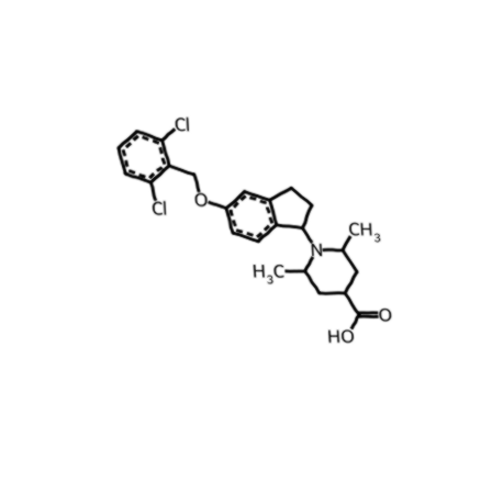 CC1CC(C(=O)O)CC(C)N1C1CCc2cc(OCc3c(Cl)cccc3Cl)ccc21